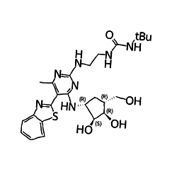 Cc1nc(NCCNC(=O)NC(C)(C)C)nc(N[C@@H]2C[C@H](CO)[C@@H](O)[C@H]2O)c1-c1nc2ccccc2s1